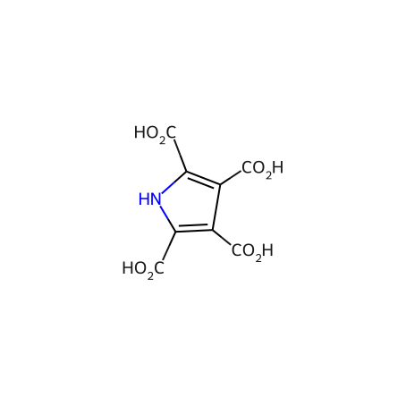 O=C(O)c1[nH]c(C(=O)O)c(C(=O)O)c1C(=O)O